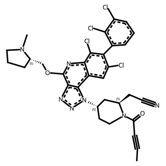 CC#CC(=O)N1CC[C@H](n2nnc3c(OC[C@@H]4CCCN4C)nc4c(Cl)c(-c5cccc(Cl)c5Cl)c(Cl)cc4c32)C[C@H]1CC#N